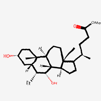 CC[C@H]1[C@@H](O)[C@@H]2[C@H](CC[C@]3(C)C([C@H](C)CCC(=O)OC)CC[C@@H]23)[C@@]2(C)CC[C@@H](O)C[C@@H]12